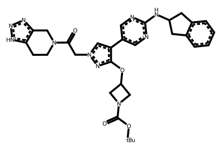 CC(C)(C)OC(=O)N1CC(Oc2nn(CC(=O)N3CCc4[nH]nnc4C3)cc2-c2cnc(NC3Cc4ccccc4C3)nc2)C1